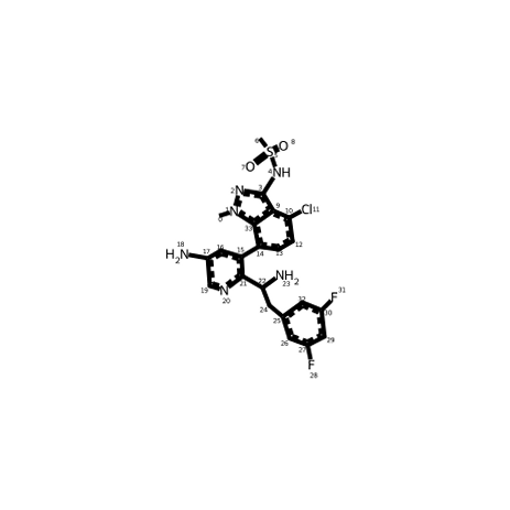 Cn1nc(NS(C)(=O)=O)c2c(Cl)ccc(-c3cc(N)cnc3C(N)Cc3cc(F)cc(F)c3)c21